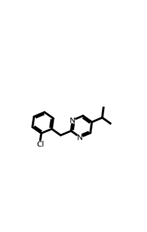 CC(C)c1cnc(Cc2ccccc2Cl)nc1